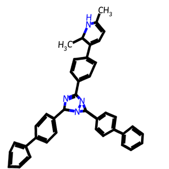 CC1=CC=C(c2ccc(C3=NC(c4ccc(-c5ccccc5)cc4)N4C(c5ccc(-c6ccccc6)cc5)N34)cc2)C(C)N1